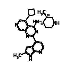 Cc1cc2c(-c3nc(N[C@H]4CCNC[C@@H]4C)c4c(C5CCC5)cncc4n3)ccnc2[nH]1